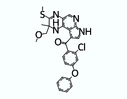 COCC1(C)Nc2c(cnc3[nH]cc(C(=O)c4ccc(Oc5ccccc5)cc4Cl)c23)N=C1SC